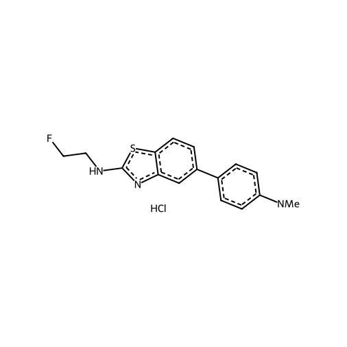 CNc1ccc(-c2ccc3sc(NCCF)nc3c2)cc1.Cl